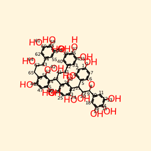 Oc1cc(O)c2c(c1)OC(c1cc(O)c(O)c(O)c1)C(O)C2c1c(O)cc(O)c2c1OC(c1cc(O)c(O)c(O)c1)C(O)C2c1c(O)cc(O)c2c1OC(c1cc(O)c(O)c(O)c1)C(O)C2